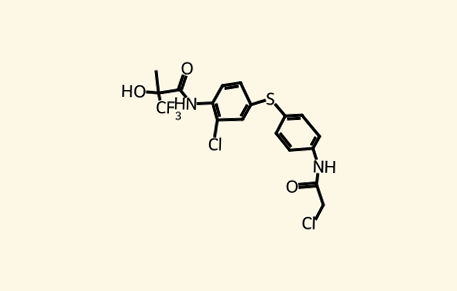 CC(O)(C(=O)Nc1ccc(Sc2ccc(NC(=O)CCl)cc2)cc1Cl)C(F)(F)F